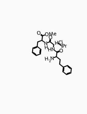 COC(=O)C(Cc1ccccc1)NC(=O)[C@H](CC(C)C)NC(=O)C(N)CCc1ccccc1.Cl